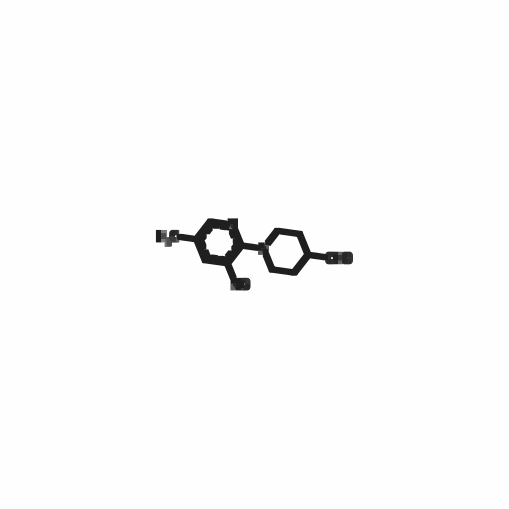 Cc1cnc(N2CCC(C=O)CC2)c(N=O)c1